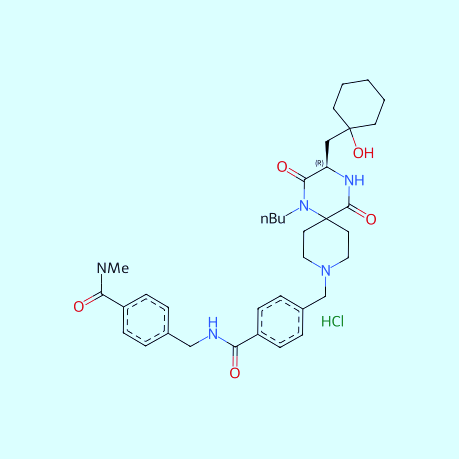 CCCCN1C(=O)[C@@H](CC2(O)CCCCC2)NC(=O)C12CCN(Cc1ccc(C(=O)NCc3ccc(C(=O)NC)cc3)cc1)CC2.Cl